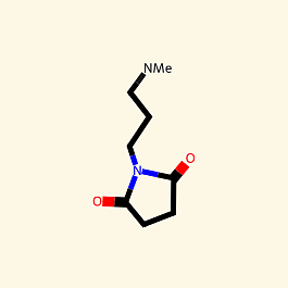 CNCCCN1C(=O)CCC1=O